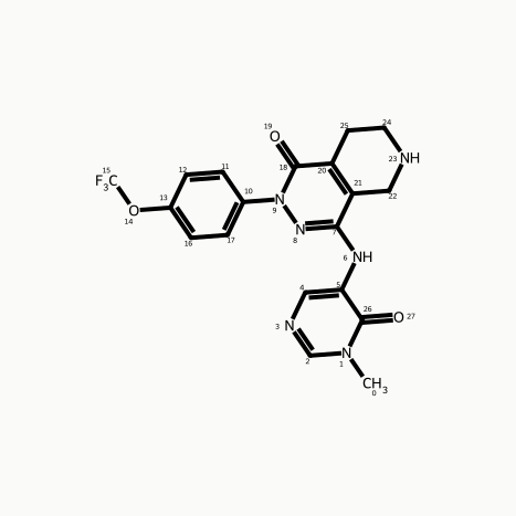 Cn1cncc(Nc2nn(-c3ccc(OC(F)(F)F)cc3)c(=O)c3c2CNCC3)c1=O